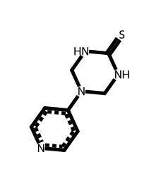 S=C1NCN(c2ccncc2)CN1